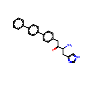 NC(Cc1c[nH]cn1)C(=O)Cc1ccc(-c2ccc(-c3ccccc3)cc2)cc1